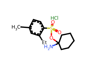 CCc1cc(C)ccc1S(=O)(=O)OC1(N)CCCCC1.Cl